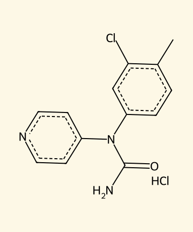 Cc1ccc(N(C(N)=O)c2ccncc2)cc1Cl.Cl